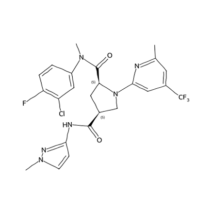 Cc1cc(C(F)(F)F)cc(N2C[C@@H](C(=O)Nc3ccn(C)n3)C[C@H]2C(=O)N(C)c2ccc(F)c(Cl)c2)n1